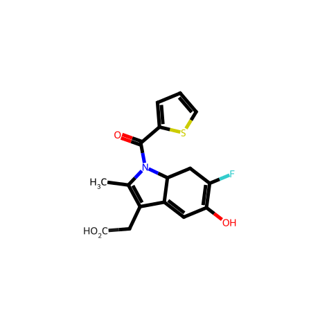 CC1=C(CC(=O)O)C2=CC(O)=C(F)CC2N1C(=O)c1cccs1